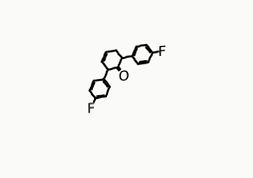 O=C1C(c2ccc(F)cc2)C=CCC1c1ccc(F)cc1